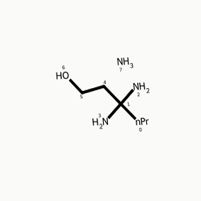 CCCC(N)(N)CCO.N